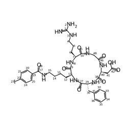 N=C(N)NCCC[C@@H]1NC(=O)[C@H](CCCCNC(=O)c2ccc(I)cc2)NC(=O)[C@@H](Cc2ccccc2)NC(=O)[C@H](CC(=O)O)NC(=O)CNC1=O